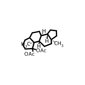 CC(=O)OC1(OC(C)=O)CCCC2CC[C@H]3[C@@H]4CCC[C@@]4(C)CC[C@@H]3[C@]21C